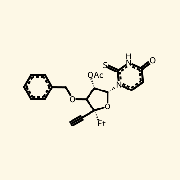 C#C[C@]1(CC)O[C@@H](n2ccc(=O)[nH]c2=S)[C@@H](OC(C)=O)C1OCc1ccccc1